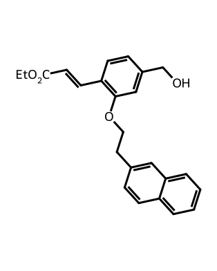 CCOC(=O)C=Cc1ccc(CO)cc1OCCc1ccc2ccccc2c1